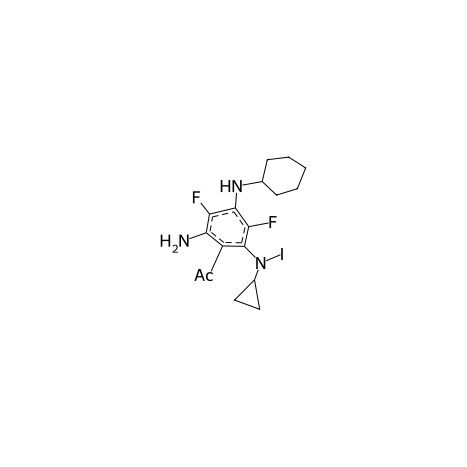 CC(=O)c1c(N)c(F)c(NC2CCCCC2)c(F)c1N(I)C1CC1